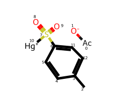 CC(=O)[O-].Cc1ccc([S](=O)(=O)[Hg+])cc1